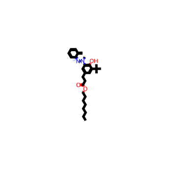 C=C1C=CC=C/C1=N/N(C)c1cc(CCC(=O)OCCCCCCCC)cc(C(C)(C)C)c1O